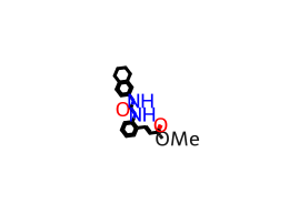 COC(=O)/C=C/c1ccccc1NC(=O)Nc1ccc2c(c1)CCCC2